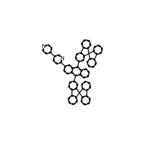 c1ccc2c(c1)-c1ccccc1C21c2ccccc2-c2ccc(-c3c4ccccc4c(-c4ccc5c(c4)C4(c6ccccc6-c6ccccc64)c4ccccc4-5)c4cc(-c5ccc(-c6ccncc6)cn5)ccc34)cc21